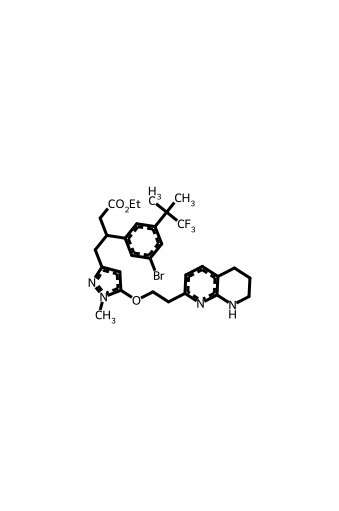 CCOC(=O)CC(Cc1cc(OCCc2ccc3c(n2)NCCC3)n(C)n1)c1cc(Br)cc(C(C)(C)C(F)(F)F)c1